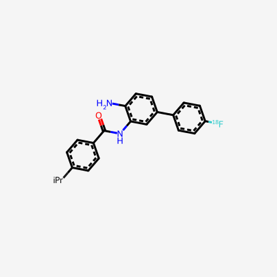 CC(C)c1ccc(C(=O)Nc2cc(-c3ccc([18F])cc3)ccc2N)cc1